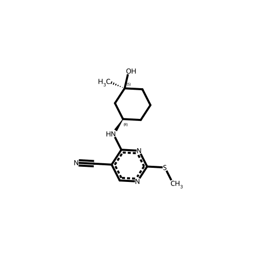 CSc1ncc(C#N)c(N[C@@H]2CCC[C@](C)(O)C2)n1